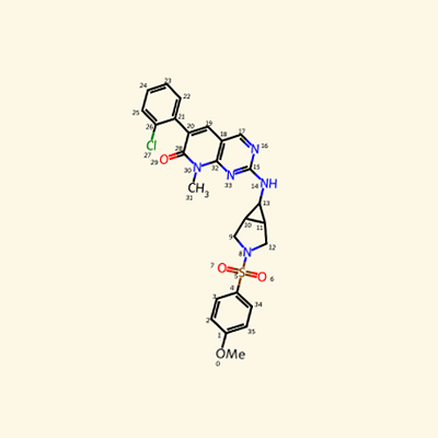 COc1ccc(S(=O)(=O)N2CC3C(C2)C3Nc2ncc3cc(-c4ccccc4Cl)c(=O)n(C)c3n2)cc1